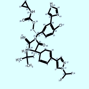 CC(C)(C)C[C@]1(C2C=CC(c3cnn(C(F)F)c3)=CC2)NC(=N)N([C@H](COC(=O)NC2CC2)c2ccc(Cl)c(-c3c[nH]cn3)c2)C1=O